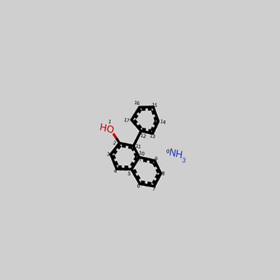 N.Oc1ccc2ccccc2c1-c1ccccc1